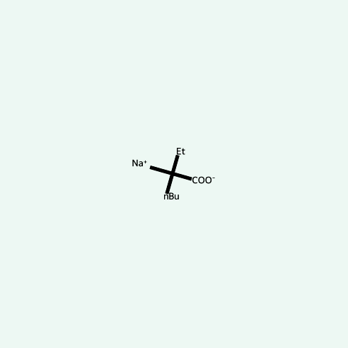 CCCCC(C)(CC)C(=O)[O-].[Na+]